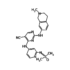 CN1CCc2ccc(Nc3ncc(C#N)c(Nc4ccnc(N=S(C)(C)=O)c4)n3)cc2C1